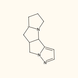 c1cc2n(n1)CC1C[C]3CCCN3C21